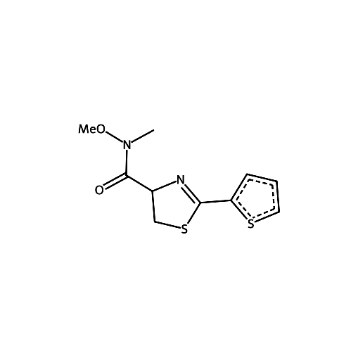 CON(C)C(=O)C1CSC(c2cccs2)=N1